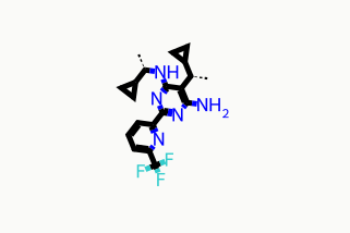 C[C@H](Nc1nc(-c2cccc(C(F)(F)F)n2)nc(N)c1[C@@H](C)C1CC1)C1CC1